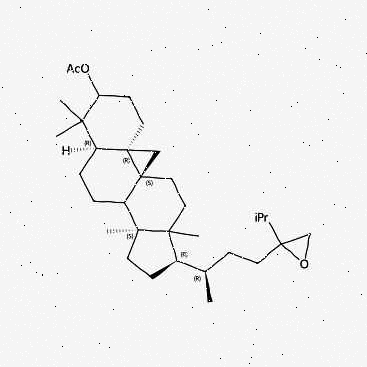 CC(=O)OC1CC[C@]23C[C@]24CCC2(C)[C@@H]([C@H](C)CCC5(C(C)C)CO5)CC[C@@]2(C)C4CC[C@H]3C1(C)C